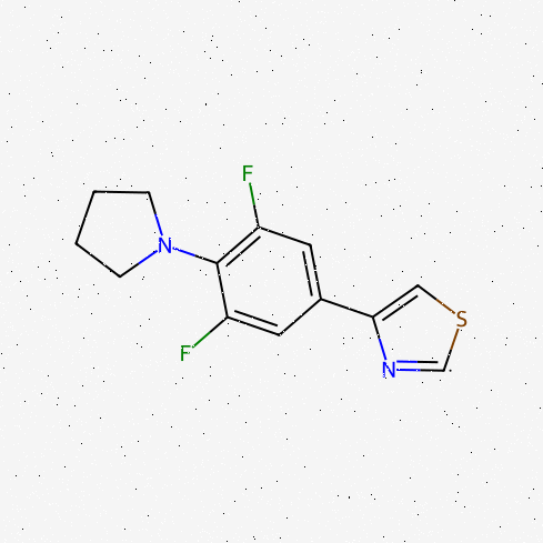 Fc1cc(-c2cs[c]n2)cc(F)c1N1CCCC1